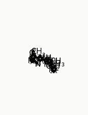 COc1cc(-c2ccc(N3C[C@@H]4CC(C)(NC(=O)c5ncccc5Cl)C[C@@H]4C3)nc2)c2c(C#N)cnn2c1